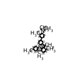 CCN(CC)c1ccc(-c2ccc(Nc3ccc(C)cc3)c(C(C)C3C=C(C)C=CC3C)c2)cc1C